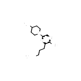 COCCCc1nc(N2CCC(C#N)CC2)cnc1C